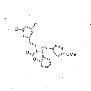 COc1ccc(Nc2c(/C=N/c3cc(Cl)cc(Cl)c3)c(=O)oc3ccccc23)cc1